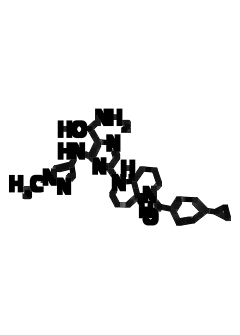 Cn1cc(Nc2nc(N3CCC[C@@H]4[C@H]3CCCN4C(=O)c3ccc(C4CC4)cc3)cnc2C(N)O)cn1